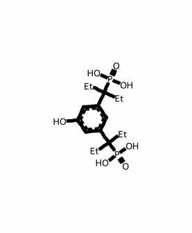 CCC(CC)(c1cc(O)cc(C(CC)(CC)P(=O)(O)O)c1)P(=O)(O)O